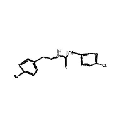 O=C(NCCc1ccc(Br)cc1)Nc1ccc(Cl)cc1